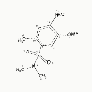 COc1cc(S(=O)(=O)N(C)C)c(C)cc1NC(C)=O